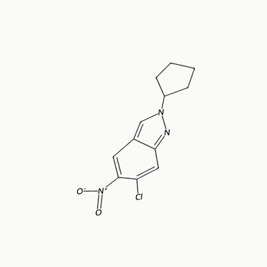 O=[N+]([O-])c1cc2cn(C3CCCC3)nc2cc1Cl